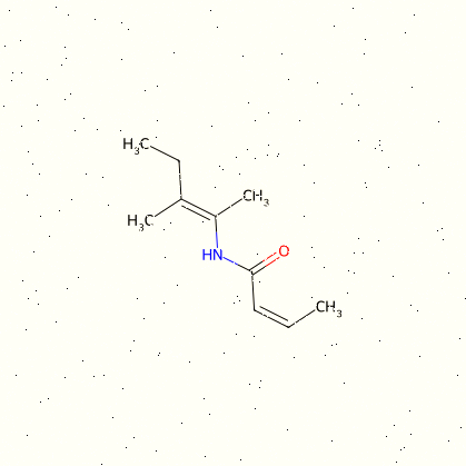 C/C=C\C(=O)N/C(C)=C(\C)CC